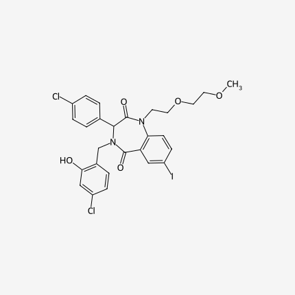 COCCOCCN1C(=O)C(c2ccc(Cl)cc2)N(Cc2ccc(Cl)cc2O)C(=O)c2cc(I)ccc21